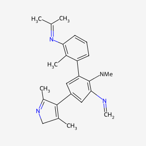 C=Nc1cc(C2=C(C)CN=C2C)cc(-c2cccc(N=C(C)C)c2C)c1NC